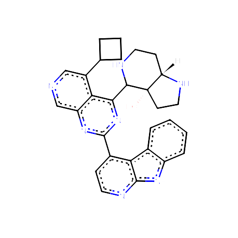 O[C@@]12CCN[C@H]1CCNC2c1nc(-c2ccnc3[nH]c4ccccc4c23)nc2cncc(C3CCC3)c12